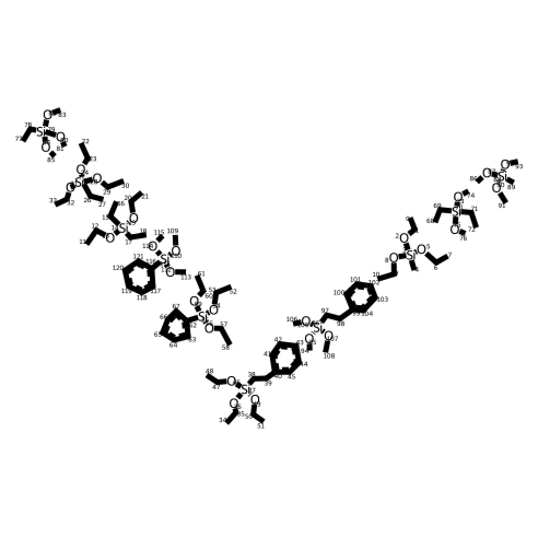 CCO[Si](C)(OCC)OCC.CCO[Si](CC)(CC)OCC.CCO[Si](CC)(OCC)OCC.CCO[Si](CCc1ccccc1)(OCC)OCC.CCO[Si](OCC)(OCC)c1ccccc1.CC[Si](CC)(OC)OC.CC[Si](OC)(OC)OC.CO[Si](C)(OC)OC.CO[Si](CCc1ccccc1)(OC)OC.CO[Si](OC)(OC)c1ccccc1